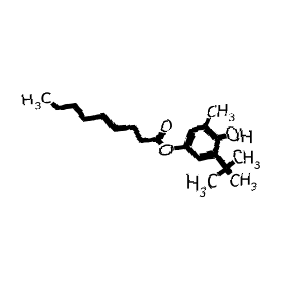 CCCCCCCCC(=O)Oc1cc(C)c(O)c(C(C)(C)C)c1